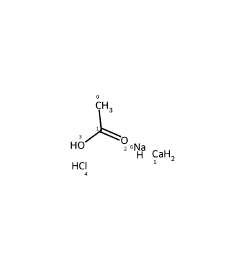 CC(=O)O.Cl.[CaH2].[NaH]